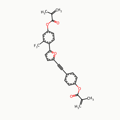 C=C(C)C(=O)Oc1ccc(C#Cc2ccc(-c3ccc(OC(=O)C(=C)C)cc3C(F)(F)F)o2)cc1